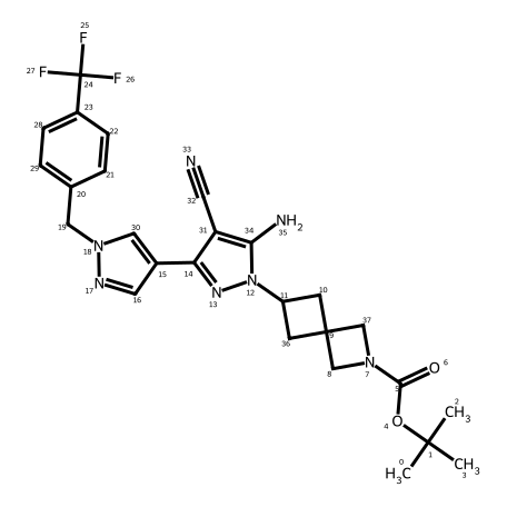 CC(C)(C)OC(=O)N1CC2(CC(n3nc(-c4cnn(Cc5ccc(C(F)(F)F)cc5)c4)c(C#N)c3N)C2)C1